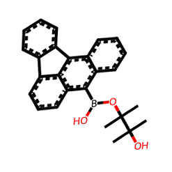 CC(C)(O)C(C)(C)OB(O)c1c2ccccc2c2c3c(cccc13)-c1ccccc1-2